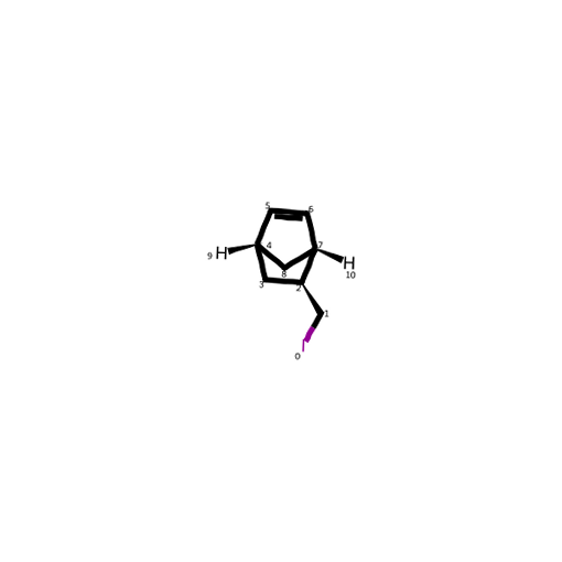 IC[C@H]1C[C@@H]2C=C[C@H]1C2